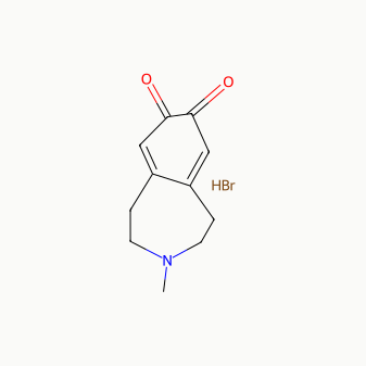 Br.CN1CCC2=CC(=O)C(=O)C=C2CC1